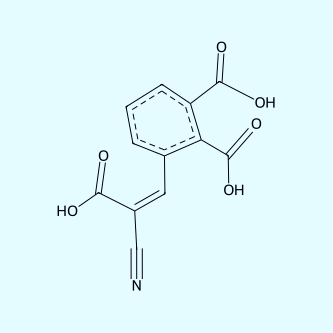 N#CC(=Cc1cccc(C(=O)O)c1C(=O)O)C(=O)O